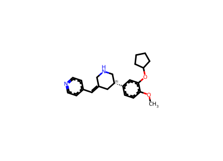 COc1ccc([C@H]2CNCC(=Cc3ccncc3)C2)cc1OC1CCCC1